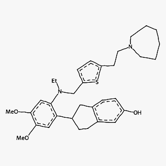 CCN(Cc1ccc(CCN2CCCCCC2)s1)c1cc(OC)c(OC)cc1C1CCc2cc(O)ccc2C1